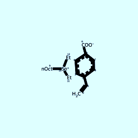 C=Cc1ccc(C(=O)[O-])cc1.CCCCCCC[CH2][Sn+]([CH2]C)[CH2]C